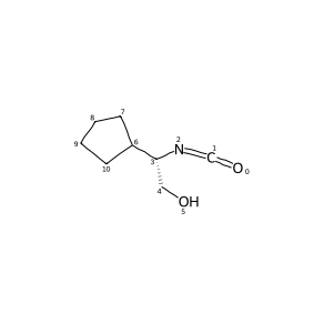 O=C=N[C@H](CO)C1CCCC1